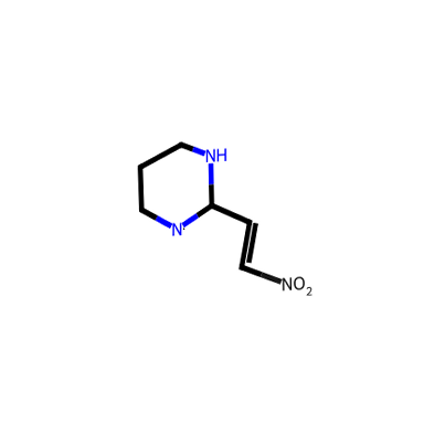 O=[N+]([O-])C=CC1[N]CCCN1